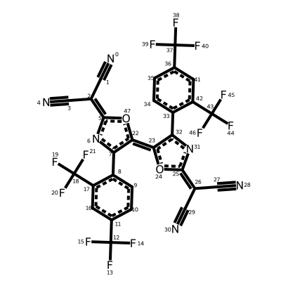 N#CC(C#N)=c1nc(-c2ccc(C(F)(F)F)cc2C(F)(F)F)/c(=c2\oc(=C(C#N)C#N)nc2-c2ccc(C(F)(F)F)cc2C(F)(F)F)o1